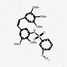 COc1cc(/C=C\c2cc(OC)c(OC)c(OC)c2)cc(NS(=O)(=O)c2cccc(OC(F)(F)F)c2)c1OC